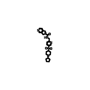 O=C(NCc1ccc(S(=O)(=O)C2CCN(C3CCCC3)CC2)cn1)N1Cc2ccncc2C1